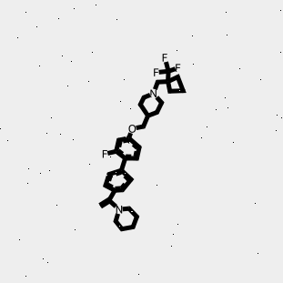 C=C(c1ccc(-c2ccc(OCC3CCN(CC4(C(F)(F)F)CCC4)CC3)cc2F)cc1)N1CCCCC1